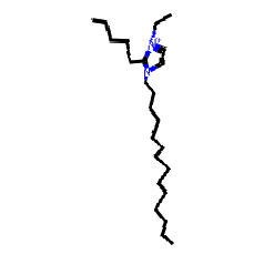 CCCCCCCCCCCCCCn1cc[n+](CC)c1CCCCC